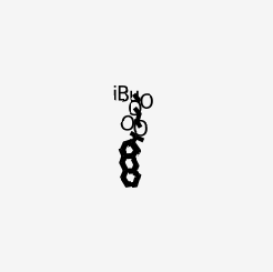 CCC(C)C(=O)OCC(=O)OC(C)(C)c1ccc2cc3ccccc3cc2c1